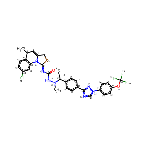 CC1C=C2CS/C(=N\C(=O)NN(C)C(C)c3ccc(-c4ncn(-c5ccc(OC(F)(F)F)cc5)n4)cc3)N2c2cc(Cl)ccc21